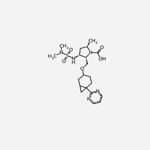 C[C@@H]1C[C@H](NS(=O)(=O)N(C)C)[C@H](COC2CCC3(c4ncccn4)CC3C2)N1C(=O)O